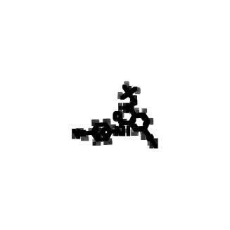 CC(C)(C)SNc1ccc(C#N)cc1C(=O)NC12CCC(C#N)(CC1)CC2